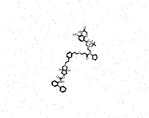 CC(C)(C)[Si](C)(C)O[C@@H](CNCCN(C(=O)CCOCCc1cccc(CCN2C[C@H]3C[C@@H](OC(=O)Nc4ccccc4-c4ccccc4)C[C@H]3C2)c1)C1CCCC1)c1ccc(O)c2c1OCC(=O)N2